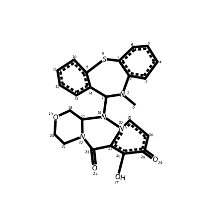 CN1c2ccccc2Sc2ccccc2C1N1C2COCCN2C(=O)c2c(O)c(=O)ccn21